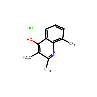 Cc1nc2c(C(F)(F)F)cccc2c(O)c1C(=O)O.Cl